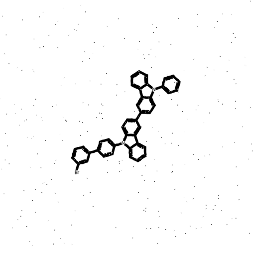 Brc1cccc(-c2ccc(-n3c4ccccc4c4cc(-c5ccc6c(c5)c5ccccc5n6-c5ccccc5)ccc43)cc2)c1